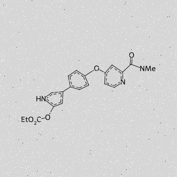 CCOC(=O)Oc1cc(-c2ccc(Oc3ccnc(C(=O)NC)c3)cc2)c[nH]1